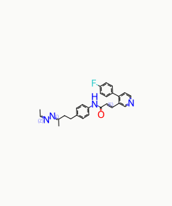 C/C=N\N=C(/C)CCc1ccc(NC(=O)/C=C/c2cnccc2-c2ccc(F)cc2)cc1